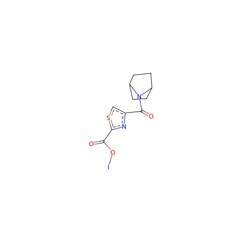 O=C(OI)c1nc(C(=O)N2C3CCC2CC3)cs1